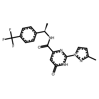 Cc1ccn(-c2nc(C(=O)N[C@H](C)c3ccc(C(F)(F)F)cc3)cc(=O)[nH]2)n1